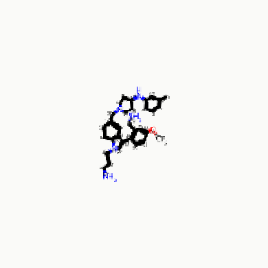 Cc1cccc(NC2CCN(Cc3ccc4c(c3)c(-c3ccc(OC(F)(F)F)cc3CN)cn4CCCN)CC2)c1